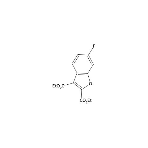 CCOC(=O)c1oc2cc(F)ccc2c1C(=O)OCC